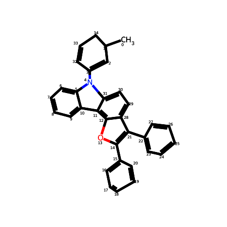 CC1C=C(n2c3ccccc3c3c4oc(-c5ccccc5)c(-c5ccccc5)c4ccc32)C=CC1